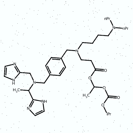 CCCN(CCC)CCCCN(CCC(=O)OC(C)OC(=O)OC(C)C)Cc1ccc(CN(Cc2ncc[nH]2)C(C)c2ncc[nH]2)cc1